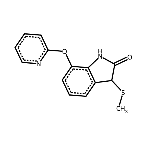 CSC1C(=O)Nc2c(Oc3ccccn3)cccc21